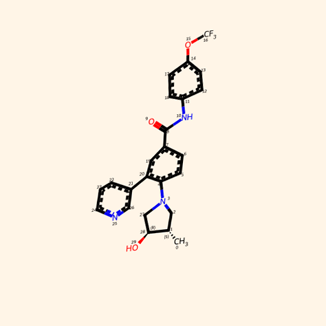 C[C@H]1CN(c2ccc(C(=O)Nc3ccc(OC(F)(F)F)cc3)cc2-c2cccnc2)C[C@@H]1O